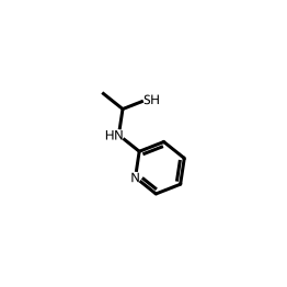 CC(S)Nc1ccccn1